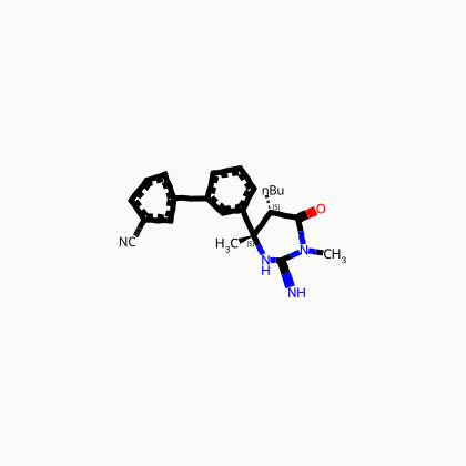 CCCC[C@@H]1C(=O)N(C)C(=N)N[C@]1(C)c1cccc(-c2cccc(C#N)c2)c1